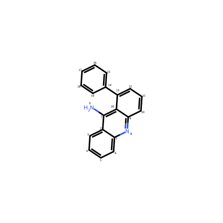 Nc1c2ccccc2nc2cccc(-c3ccccc3)c12